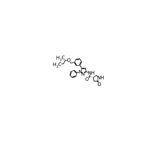 CC[C@H](C)OCc1cccc(-c2cc(NC(=O)[C@@H]3CNC(=O)C3)nn2-c2ccccc2)c1